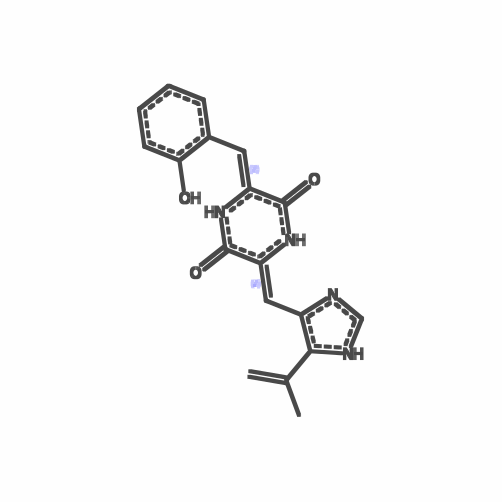 C=C(C)c1[nH]cnc1/C=c1\[nH]c(=O)/c(=C/c2ccccc2O)[nH]c1=O